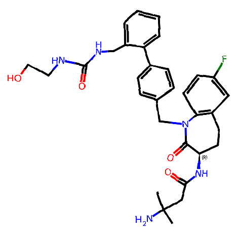 CC(C)(N)CC(=O)N[C@@H]1CCc2cc(F)ccc2N(Cc2ccc(-c3ccccc3CNC(=O)NCCO)cc2)C1=O